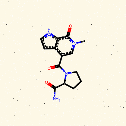 Cn1cc(C(=O)N2CCCC2C(N)=O)c2cc[nH]c2c1=O